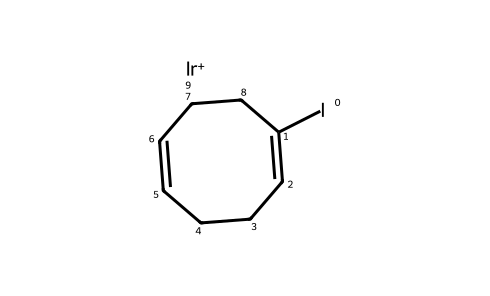 IC1=CCCC=CCC1.[Ir+]